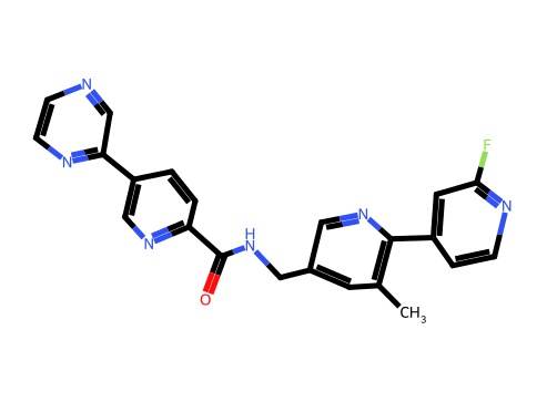 Cc1cc(CNC(=O)c2ccc(-c3cnccn3)cn2)cnc1-c1ccnc(F)c1